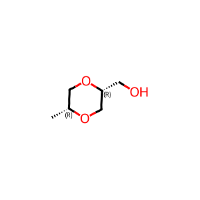 C[C@@H]1CO[C@H](CO)CO1